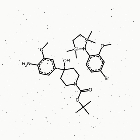 COc1cc(Br)ccc1N1[Si](C)(C)CC[Si]1(C)C.COc1cc(C2(O)CCN(C(=O)OC(C)(C)C)CC2)ccc1N